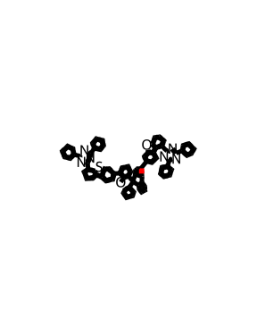 c1ccc(-c2nc(-c3ccccc3)nc(-c3cccc4c3sc3cc(-c5cccc6c5Oc5ccccc5C65c6ccccc6-c6cc(-c7ccc8c(c7)oc7cccc(-c9nc(-c%10ccccc%10)nc(-c%10ccccc%10)n9)c78)ccc65)ccc34)n2)cc1